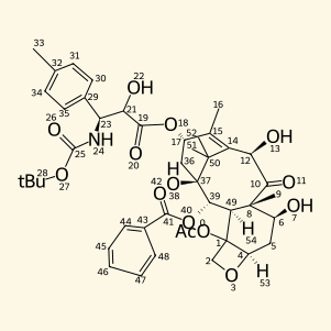 CC(=O)OC12CO[C@@H]1C[C@H](O)[C@@]1(C)C(=O)[C@H](O)C3=C(C)[C@@H](OC(=O)C(O)[C@@H](NC(=O)OC(C)(C)C)c4ccc(C)cc4)C[C@@](O)([C@@H](OC(=O)c4ccccc4)[C@H]21)C3(C)C